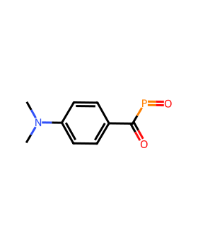 CN(C)c1ccc(C(=O)P=O)cc1